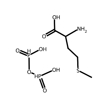 CSCCC(N)C(=O)O.O=[PH](O)O[PH](=O)O